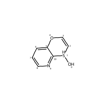 O[SH]1C=COc2cccnc21